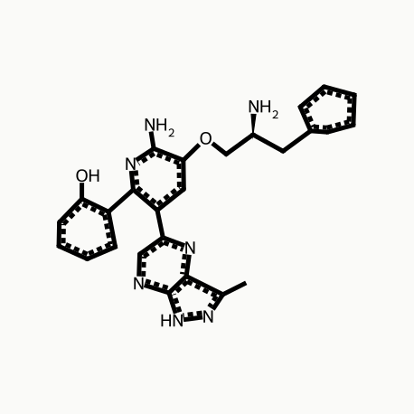 Cc1n[nH]c2ncc(-c3cc(OC[C@@H](N)Cc4ccccc4)c(N)nc3-c3ccccc3O)nc12